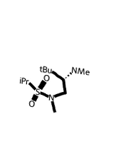 CN[C@H](CN(C)S(=O)(=O)C(C)C)C(C)(C)C